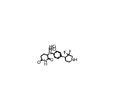 Cl.Cl.O=C1CCC(Nc2ccc(C3CCNCC3(F)F)cc2)C(=O)N1